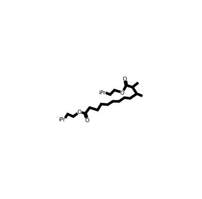 CC(C)CCOC(=O)CCCCCCCCC(C)C(C)C(=O)OCCC(C)C